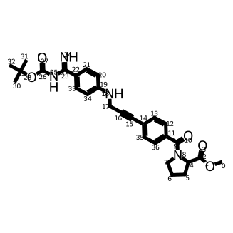 COC(=O)C1CCCN1C(=O)c1ccc(C#CCNc2ccc(C(=N)NC(=O)OC(C)(C)C)cc2)cc1